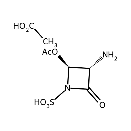 CC(=O)O.CC(=O)O[C@H]1[C@H](N)C(=O)N1S(=O)(=O)O